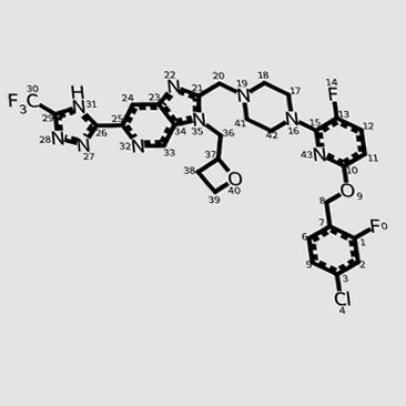 Fc1cc(Cl)ccc1COc1ccc(F)c(N2CCN(Cc3nc4cc(-c5nnc(C(F)(F)F)[nH]5)ncc4n3CC3CCO3)CC2)n1